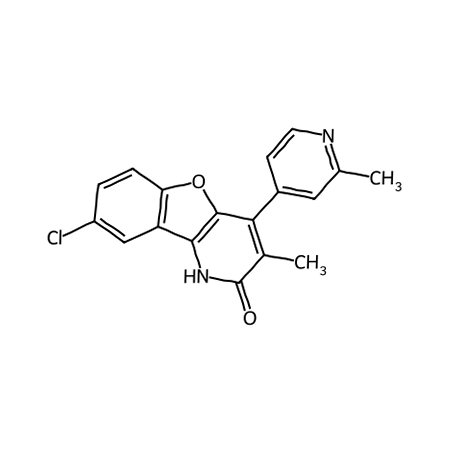 Cc1cc(-c2c(C)c(=O)[nH]c3c2oc2ccc(Cl)cc23)ccn1